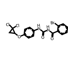 O=C(NC(=O)c1ccccc1Br)Nc1ccc(OC2CC2(Cl)Cl)cc1